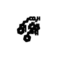 O=C(O)CCCc1cc2ccccc2[nH]1.c1ccc(CNc2ncnc3nc[nH]c23)cc1